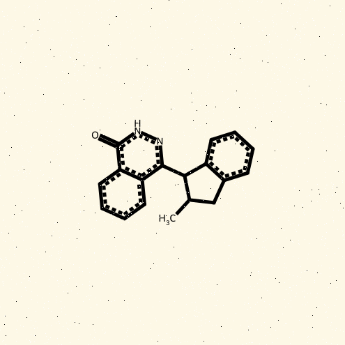 CC1Cc2ccccc2C1c1n[nH]c(=O)c2ccccc12